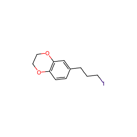 ICCCc1ccc2c(c1)OCCO2